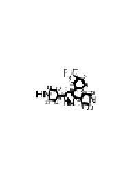 FC(F)(F)c1cccc(-c2cc(C3CCNCC3)nnc2-c2ccncc2)c1